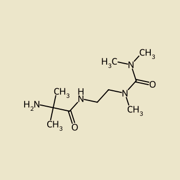 CN(C)C(=O)N(C)CCNC(=O)C(C)(C)N